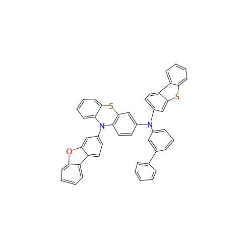 c1ccc(-c2cccc(N(c3ccc4c(c3)Sc3ccccc3N4c3ccc4c(c3)oc3ccccc34)c3ccc4c(c3)sc3ccccc34)c2)cc1